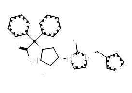 Cc1n([C@H]2CC[C@@H](C(C(N)=O)(c3ccccc3)c3ccccc3)C2)cc[n+]1Cc1ccsc1.[Br-]